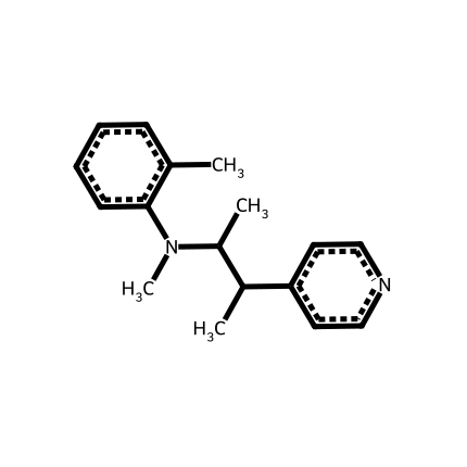 Cc1ccccc1N(C)C(C)C(C)c1ccncc1